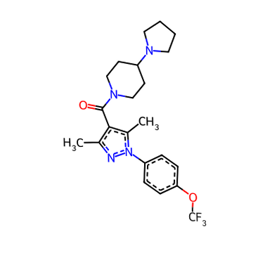 Cc1nn(-c2ccc(OC(F)(F)F)cc2)c(C)c1C(=O)N1CCC(N2CCCC2)CC1